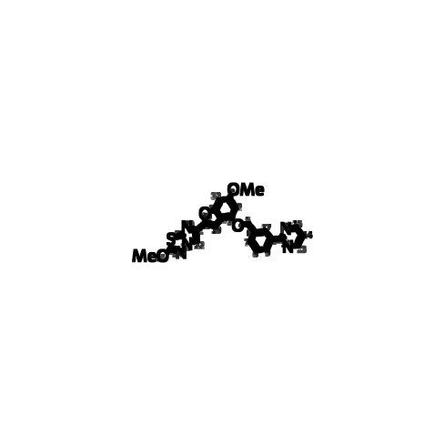 COc1cc(OCc2cccc(-c3ncccn3)c2)c2cc(-c3cn4nc(OC)sc4n3)oc2c1